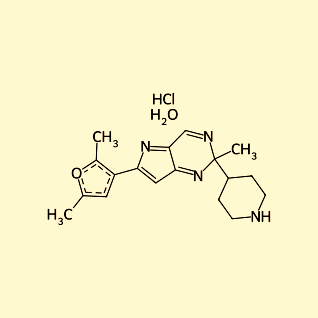 Cc1cc(C2=CC3=NC(C)(C4CCNCC4)N=CC3=N2)c(C)o1.Cl.O